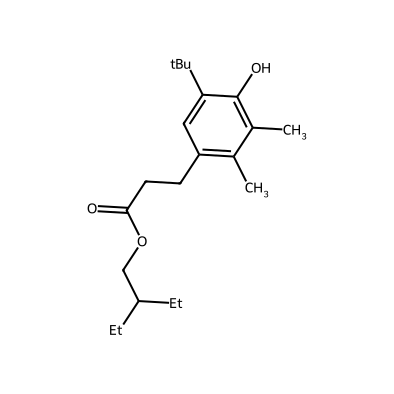 CCC(CC)COC(=O)CCc1cc(C(C)(C)C)c(O)c(C)c1C